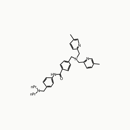 CCCN(CCC)Cc1ccc(NC(=O)c2ccc(CN(Cc3ccc(C)cn3)Cc3ccc(C)cn3)cc2)cc1